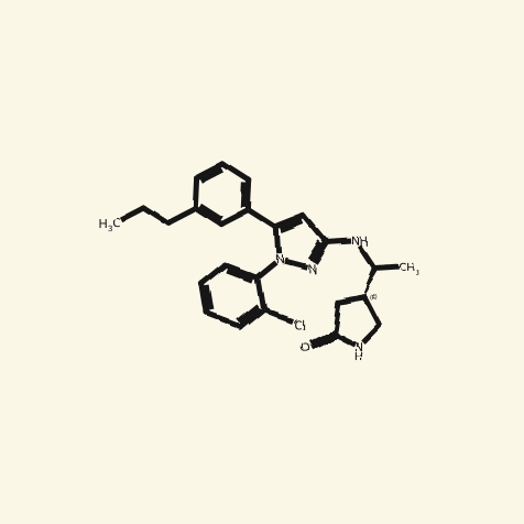 CCCc1cccc(-c2cc(NC(C)[C@H]3CNC(=O)C3)nn2-c2ccccc2Cl)c1